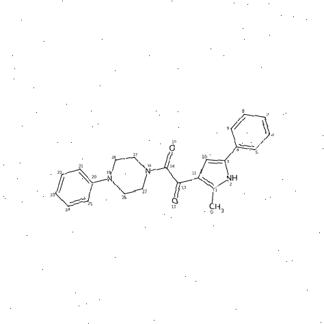 Cc1[nH]c(-c2ccccc2)cc1C(=O)C(=O)N1CCN(c2ccccc2)CC1